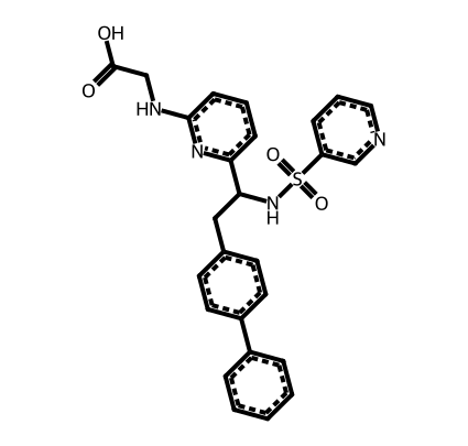 O=C(O)CNc1cccc(C(Cc2ccc(-c3ccccc3)cc2)NS(=O)(=O)c2cccnc2)n1